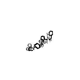 C[C@@H](CC1CCCCC1)NCc1ccccc1NS(=O)(=O)c1ccc(N2CCOC2=O)cc1